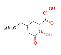 CCCCCCCCC(CCC(=O)OO)CC(=O)OO